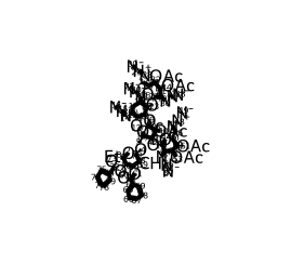 CCC1O[C@@H](OC[C@H]2O[C@@H](O[C@@H]3C(OC(C)=O)[C@H](N=[N+]=[N-])CC(N=[N+]=[N-])[C@H]3O[C@H]3OC(CN=[N+]=[N-])[C@@H](OC(C)=O)[C@H](OC(C)=O)C3N=[N+]=[N-])C(OC(C)=O)[C@H]2O[C@H]2O[C@@H](CN=[N+]=[N-])[C@@H](OC(C)=O)C(OC(C)=O)C2N=[N+]=[N-])C(C)[C@@H](OC(=O)c2ccccc2)[C@@H]1OC(=O)c1ccccc1